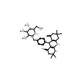 C=C1CC(C)(C)CC2=C1C(c1ccc(C[C@@H]3OC(COC(C)=O)[C@@H](OC(C)=O)C(OC(C)=O)C3OC(C)=O)cc1)C1=C(CC(C)(C)CC1=O)O2